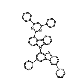 c1ccc(-c2ccc3sc4c(-n5c6ccccc6c6c(-c7nc(-c8ccccc8)cc(-c8ccccc8)n7)cccc65)cc(-c5ccccc5)cc4c3c2)cc1